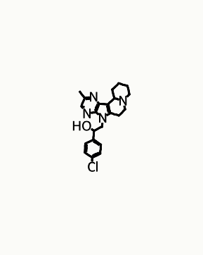 Cc1cnc2c(n1)c1c(n2CC(O)c2ccc(Cl)cc2)CCN2CCCCC12